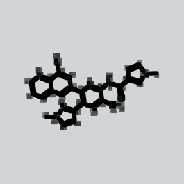 Cn1ccc(C(=O)Nc2nc(-c3cc(Cl)c4ncccc4c3)c(-c3ccn(C)n3)nc2N)c1